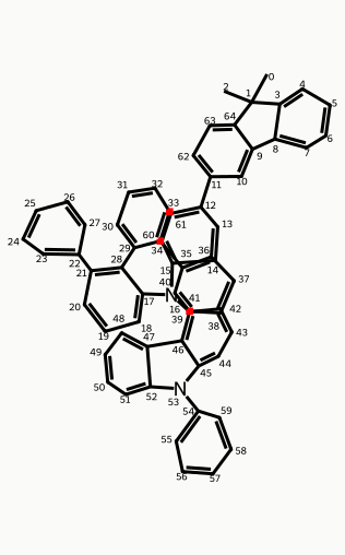 CC1(C)c2ccccc2-c2cc(-c3ccc(N(c4cccc(-c5ccccc5)c4-c4ccccc4-c4ccccc4)c4cccc5c4c4ccccc4n5-c4ccccc4)cc3)ccc21